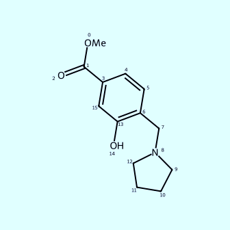 COC(=O)c1ccc(CN2CCCC2)c(O)c1